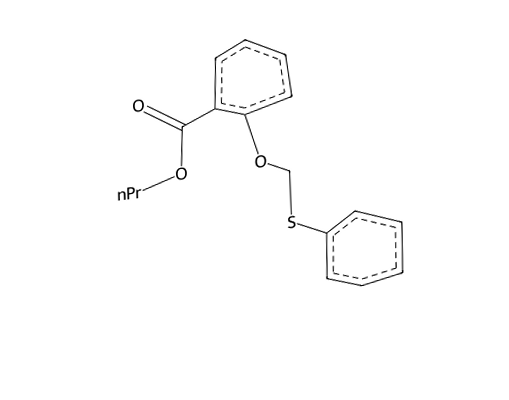 CCCOC(=O)c1ccccc1OCSc1ccccc1